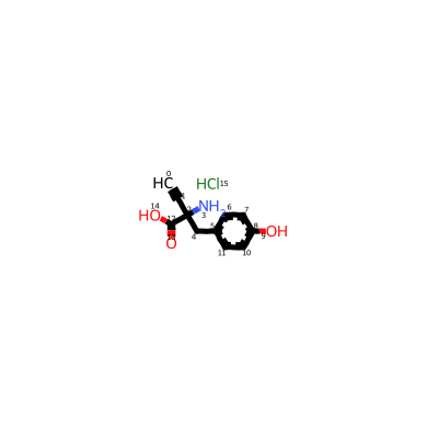 C#CC(N)(Cc1ccc(O)cc1)C(=O)O.Cl